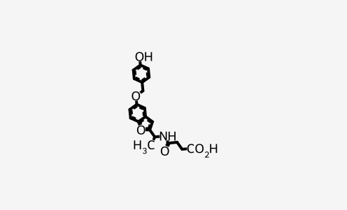 CC(NC(=O)CCC(=O)O)c1cc2cc(OCc3ccc(O)cc3)ccc2o1